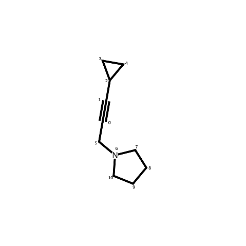 C(#CC1CC1)CN1CCCC1